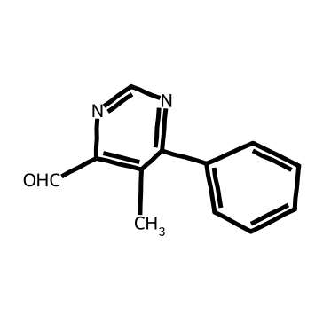 Cc1c(C=O)ncnc1-c1ccccc1